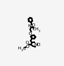 CCOC(=O)C1CCN(Cl)CC1Cc1cccc(OCCc2nc(-c3ccccc3)oc2C)c1